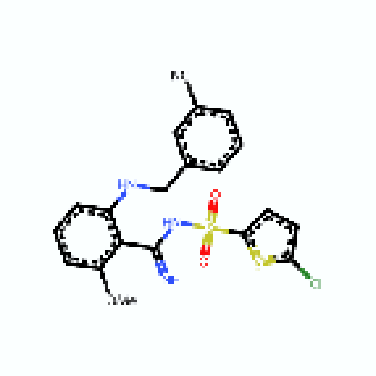 COc1cccc(NCc2cccc(C#N)c2)c1C(=N)NS(=O)(=O)c1ccc(Cl)s1